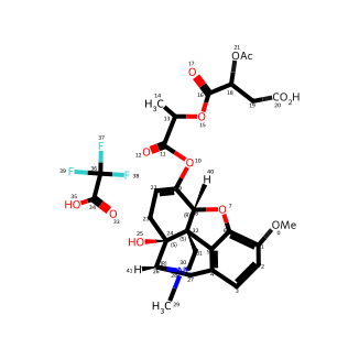 COc1ccc2c3c1O[C@H]1C(OC(=O)C(C)OC(=O)C(CC(=O)O)OC(C)=O)=CC[C@@]4(O)[C@@H](C2)N(C)CC[C@]314.O=C(O)C(F)(F)F